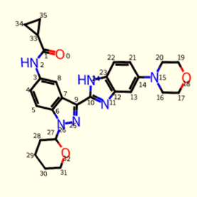 O=C(Nc1ccc2c(c1)c(-c1nc3cc(N4CCOCC4)ccc3[nH]1)nn2C1CCCCO1)C1CC1